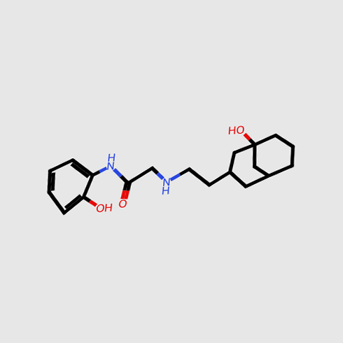 O=C(CNCCC1CC2CCCC(O)(C2)C1)Nc1ccccc1O